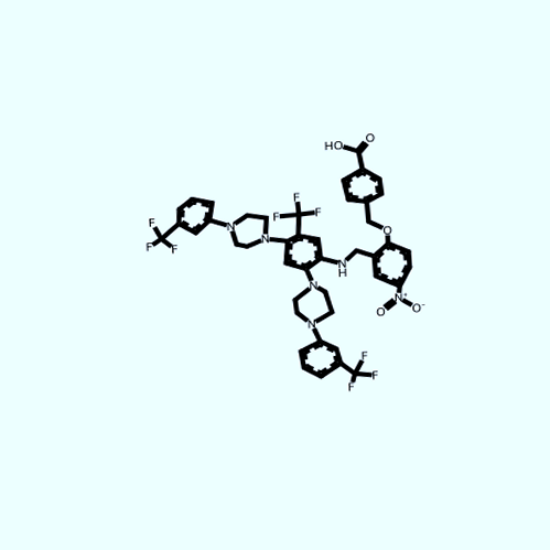 O=C(O)c1ccc(COc2ccc([N+](=O)[O-])cc2CNc2cc(C(F)(F)F)c(N3CCN(c4cccc(C(F)(F)F)c4)CC3)cc2N2CCN(c3cccc(C(F)(F)F)c3)CC2)cc1